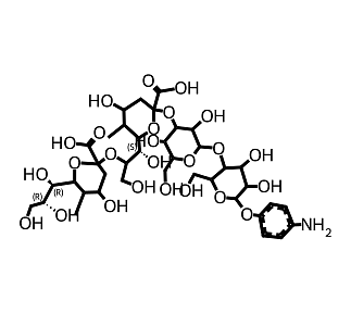 CC1C(O)CC(OC2C(O)C(CO)OC(OC3C(CO)OC(Oc4ccc(N)cc4)C(O)C3O)C2O)(C(=O)O)OC1[C@H](O)C(CO)OC1(C(=O)O)CC(O)C(C)C([C@H](O)[C@H](O)CO)O1